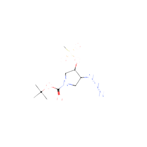 CC(C)(C)OC(=O)N1CC(N=[N+]=[N-])C(OS(C)(=O)=O)C1